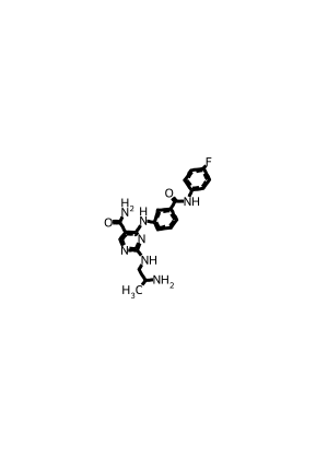 CC(N)CNc1ncc(C(N)=O)c(Nc2cccc(C(=O)Nc3ccc(F)cc3)c2)n1